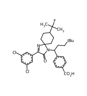 CC(C)(C)CCC(c1ccc(C(=O)O)cc1)N1C(=O)C(c2cc(Cl)cc(Cl)c2)=NC12CCC(C(C)(C)F)CC2